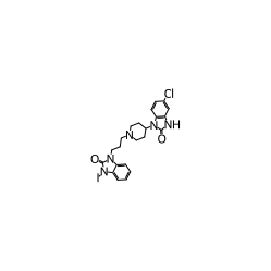 O=c1n(I)c2ccccc2n1CCCN1CCC(n2c(=O)[nH]c3cc(Cl)ccc32)CC1